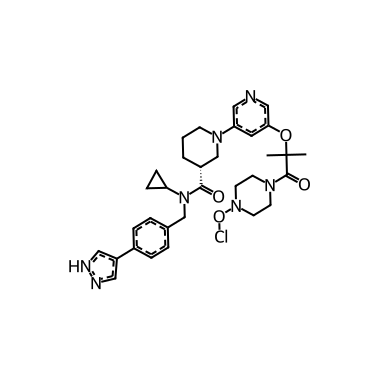 CC(C)(Oc1cncc(N2CCC[C@@H](C(=O)N(Cc3ccc(-c4cn[nH]c4)cc3)C3CC3)C2)c1)C(=O)N1CCN(OCl)CC1